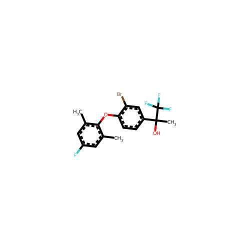 Cc1cc(F)cc(C)c1Oc1ccc(C(C)(O)C(F)(F)F)cc1Br